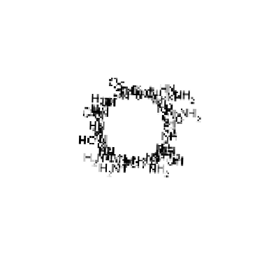 CCCC[C@H]1C(=O)N(C)[C@@H](CCCC)C(=O)N[C@@H](CCCNC(=N)N)C(=O)NC(C(=O)NCC(N)=O)CSCC(=O)N[C@@H](Cc2ccc(O)cc2)C(=O)N(C)[C@@H](C)C(=O)N[C@@H](CC(N)=O)C(=O)N2CCC[C@H]2C(=O)N[C@@H](CC(N)=O)C(=O)N[C@@H](CC(N)=O)C(=O)N2C[C@H](O)C[C@H]2C(=O)N[C@@H](Cc2c[nH]c3ccccc23)C(=O)N[C@@H](CO)C(=O)N[C@@H](Cc2csc3ccccc23)C(=O)N1C